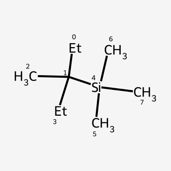 CCC(C)(CC)[Si](C)(C)C